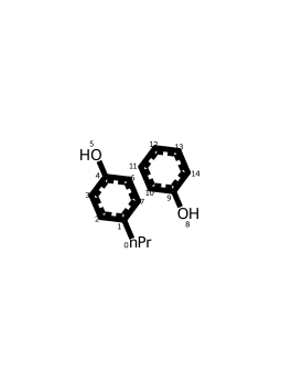 CCCc1ccc(O)cc1.Oc1ccccc1